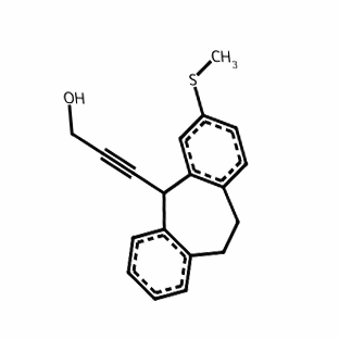 CSc1ccc2c(c1)C(C#CCO)c1ccccc1CC2